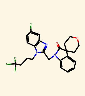 O=C1N(Cc2nc3cc(Cl)ccc3n2CCCC(F)(F)F)c2ccccc2C12CCOCC2